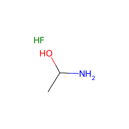 CC(N)O.F